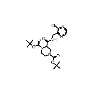 CC(C)(C)OC(=O)N1CCN(C(=O)OC(C)(C)C)C(C(=O)NCc2nccnc2Cl)C1